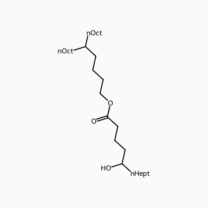 CCCCCCCCC(CCCCCCCC)CCCCOC(=O)CCCC(O)CCCCCCC